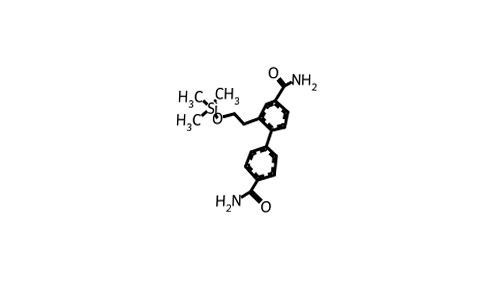 C[Si](C)(C)OCCc1cc(C(N)=O)ccc1-c1ccc(C(N)=O)cc1